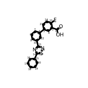 O=C(O)c1cc(-c2cccc(-c3nsc(-c4ccccc4)n3)c2)ccc1F